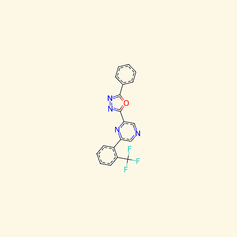 FC(F)(F)c1ccccc1-c1cncc(-c2nnc(-c3ccccc3)o2)n1